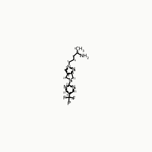 CC(N)CCCn1cc2c(n1)CN(c1ncc(C(F)(F)F)cn1)C2